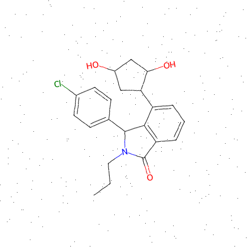 CCCN1C(=O)c2cccc(C3CC(O)CC3O)c2C1c1ccc(Cl)cc1